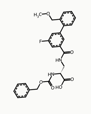 COCc1ccccc1-c1cc(F)cc(C(=O)NC[C@@H](NC(=O)OCc2ccccc2)C(=O)O)c1